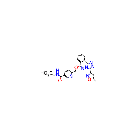 Cc1cc(-c2nnc3c4ccccc4c(OCc4ccc(C(=O)NCC(=O)O)cn4)nn23)no1